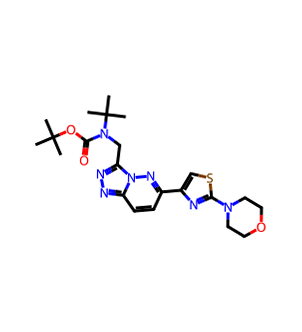 CC(C)(C)OC(=O)N(Cc1nnc2ccc(-c3csc(N4CCOCC4)n3)nn12)C(C)(C)C